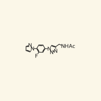 CC(=O)NCc1cn(-c2ccc(-n3cccn3)c(F)c2)nn1